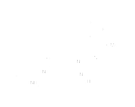 COc1cccc2cc(-c3nc4cc5c(cc4n3C)CCN(C[C@H](N)CF)C5=O)n(CCOC(F)F)c12